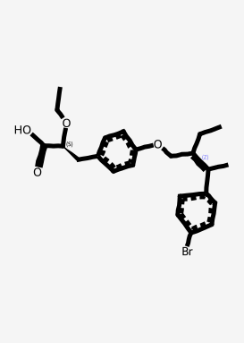 CCO[C@@H](Cc1ccc(OC/C(CC)=C(/C)c2ccc(Br)cc2)cc1)C(=O)O